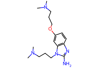 CN(C)CCCOc1ccc2nc(N)n(CCCN(C)C)c2c1